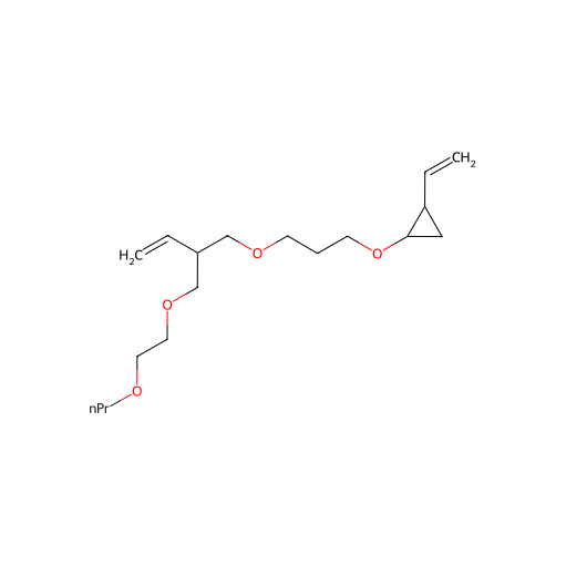 C=CC(COCCCOC1CC1C=C)COCCOCCC